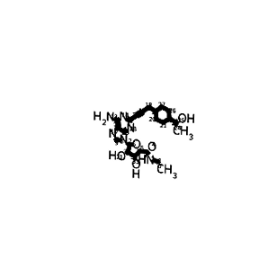 CCNC(=O)C1OC(n2cnc3c(N)nc(C#CCC4CCC(C(C)O)CC4)nc32)C(O)C1O